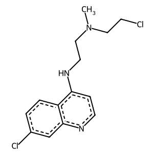 CN(CCCl)CCNc1ccnc2cc(Cl)ccc12